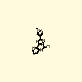 Cn1cc(-c2nc3c4ncccc4nc(Cl)n3n2)cn1